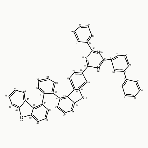 c1ccc(-c2cccc(-c3nc(-c4ccccc4)nc(-c4ccc5c(c4)sc4cccc(-c6ccccc6-c6cccc7oc8ccccc8c67)c45)n3)c2)cc1